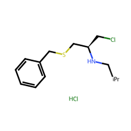 CC(C)CN[C@H](CCl)CSCc1ccccc1.Cl